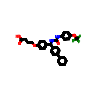 O=C(O)CCCOc1ccc(C(NC(=O)Nc2ccc(OC(F)(F)F)cc2)c2ccc(C3CCCCC3)cc2)cc1